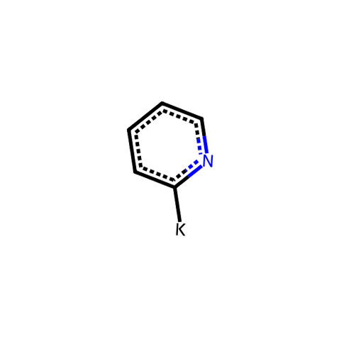 [K][c]1ccccn1